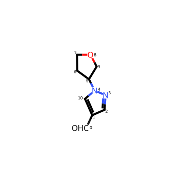 O=Cc1cnn(C2CCOC2)c1